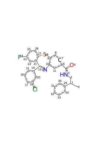 CC(CNC(=O)c1ccc2c(c1)N=C(c1cccc(Cl)c1)c1cc(F)ccc1S2)c1ccccc1